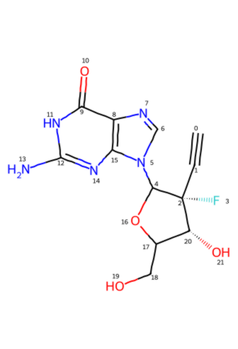 C#C[C@]1(F)C(n2cnc3c(=O)[nH]c(N)nc32)OC(CO)[C@H]1O